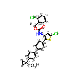 C[C@@H](OC(=O)Nc1cc(Cl)sc1-c1ccc(-c2ccc(C3(C(=O)O)CC3)cc2)cc1)c1ccccc1Cl